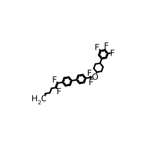 C=CCC/C(F)=C(\F)c1ccc(-c2ccc(C(F)(F)OC3CCC(c4cc(F)c(F)c(F)c4)CC3)cc2)cc1